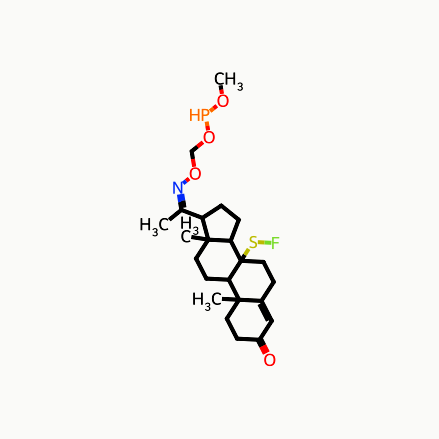 COPOCO/N=C(/C)C1CCC2C1(C)CCC1C3(C)CCC(=O)C=C3CCC12SF